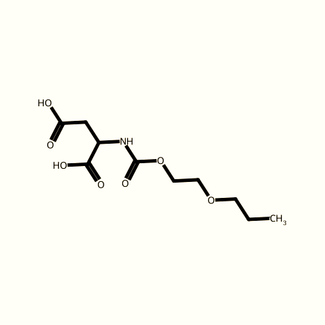 CCCOCCOC(=O)NC(CC(=O)O)C(=O)O